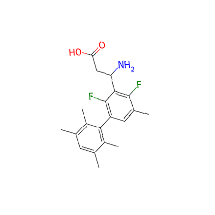 Cc1cc(C)c(C)c(-c2cc(C)c(F)c(C(N)CC(=O)O)c2F)c1C